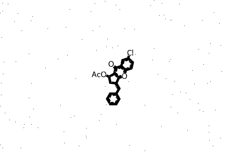 CC(=O)OC1CC(=Cc2ccccc2)c2oc3ccc(Cl)cc3c(=O)c21